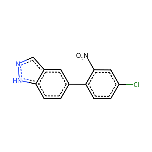 O=[N+]([O-])c1cc(Cl)ccc1-c1ccc2[nH]ncc2c1